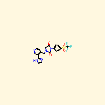 O=C1CN(Cc2ccncc2-c2ncc[nH]2)C(=O)N1c1ccc(S(=O)(=O)C(F)(F)F)cc1